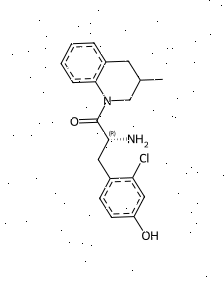 CC1Cc2ccccc2N(C(=O)[C@H](N)Cc2ccc(O)cc2Cl)C1